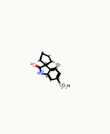 O=C(O)c1cc(Br)c2c(c1)NC(=O)C21CCCC1